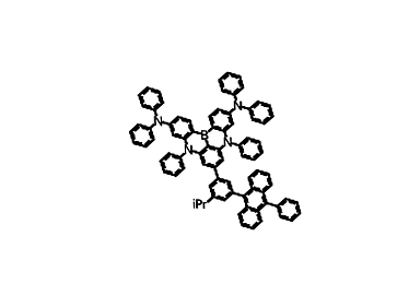 CC(C)c1cc(-c2cc3c4c(c2)N(c2ccccc2)c2cc(N(c5ccccc5)c5ccccc5)ccc2B4c2ccc(N(c4ccccc4)c4ccccc4)cc2N3c2ccccc2)cc(-c2c3ccccc3c(-c3ccccc3)c3ccccc23)c1